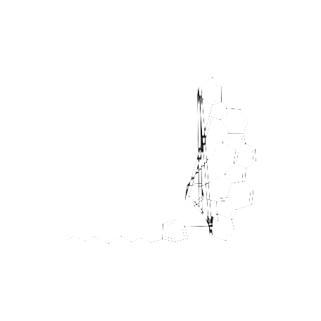 CCCCCCCCCc1ccc(C2N(C)CC34C5=c6ccc7c8ccc9c%10ccc%11c%12ccc%13c%14c(c%15c%16c3c6c7c3c8c9c6c%10c%11c(c%14%12)c%15c6c%163)C24C=%13C=C5)cc1